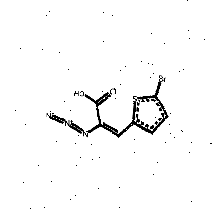 [N-]=[N+]=N/C(=C/c1ccc(Br)s1)C(=O)O